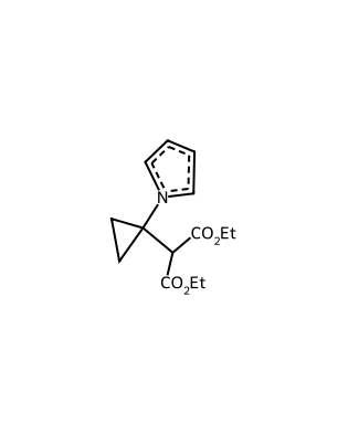 CCOC(=O)C(C(=O)OCC)C1(n2cccc2)CC1